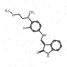 COCCN(C)c1ccc(N/C=C2/C(=O)Nc3ccccc32)cc1F